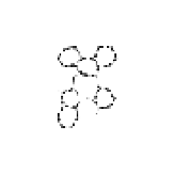 CCc1nc2cccc3c2n1-c1c(cccc1-c1cc2ccccc2c2ccccc12)O3